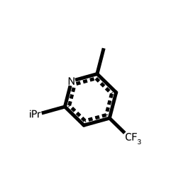 Cc1cc(C(F)(F)F)cc(C(C)C)n1